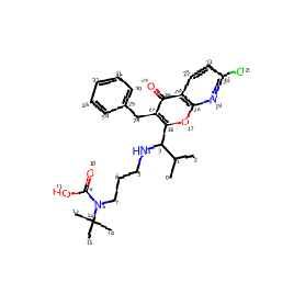 CC(C)C(NCCCN(C(=O)O)C(C)(C)C)c1oc2nc(Cl)ccc2c(=O)c1Cc1ccccc1